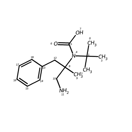 CC(C)(C)N(C(=O)O)C(C)(CN)Cc1ccccc1